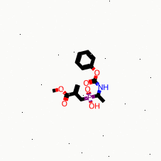 C=C(CP(=O)(O)C(C)NC(=O)Oc1ccccc1)C(=O)OC